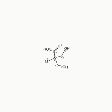 CCS(SO)(SO)S(=O)O